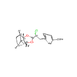 COc1ccc(C[C@H](Cl)B2O[C@@H]3C[C@@H]4C[C@@H](C4(C)C)[C@]3(C)O2)cc1